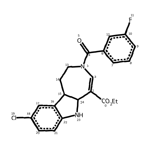 CCOC(=O)C1=CN(C(=O)c2cccc(F)c2)CCC2c3cc(Cl)ccc3NC12